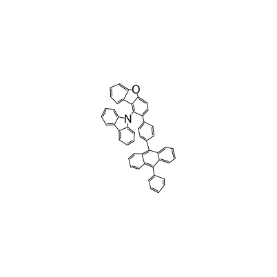 c1ccc(-c2c3ccccc3c(-c3ccc(-c4ccc5oc6ccccc6c5c4-n4c5ccccc5c5ccccc54)cc3)c3ccccc23)cc1